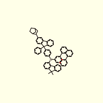 CC1(C)c2ccccc2-c2c(N(c3ccc(C4(c5ccccc5)c5ccccc5-c5cc(C6CC7CCC6C7)ccc54)cc3)c3cccc(-c4cccc5cccc(-c6ccccc6)c45)c3)cccc21